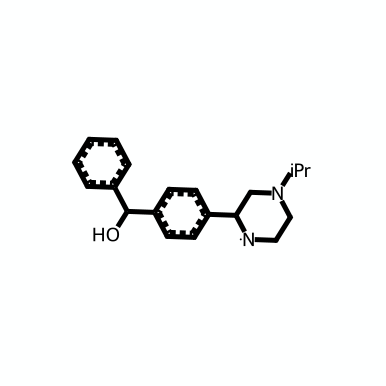 CC(C)N1CC[N]C(c2ccc(C(O)c3ccccc3)cc2)C1